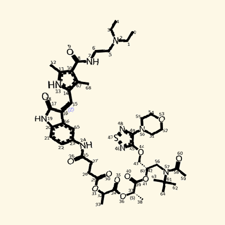 CCN(CC)CCNC(=O)c1c(C)[nH]c(/C=C2\C(=O)Nc3ccc(NC(=O)CCC(=O)OC(C)C(=O)O[C@@H](C)C(=O)O[C@H](COc4nsnc4N4CCOCC4)CN(C(C)=O)C(C)(C)C)cc32)c1C